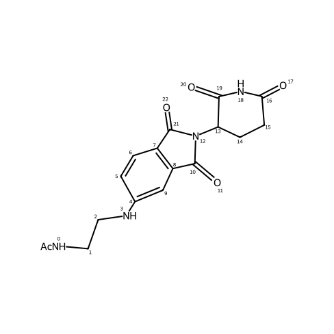 CC(=O)NCCNc1ccc2c(c1)C(=O)N(C1CCC(=O)NC1=O)C2=O